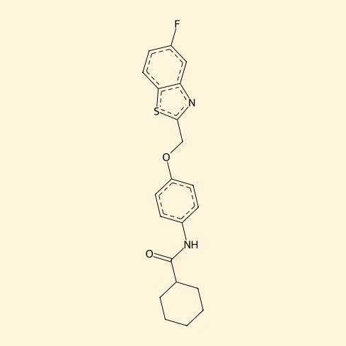 O=C(Nc1ccc(OCc2nc3cc(F)ccc3s2)cc1)C1CCCCC1